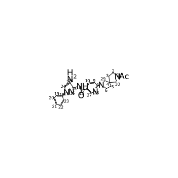 CC(=O)N1CCC2(CCN(c3ccc(C(=O)Nc4nn(-c5ccccc5)cc4N)cn3)C2)C1